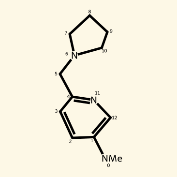 CNc1ccc(CN2CCCC2)nc1